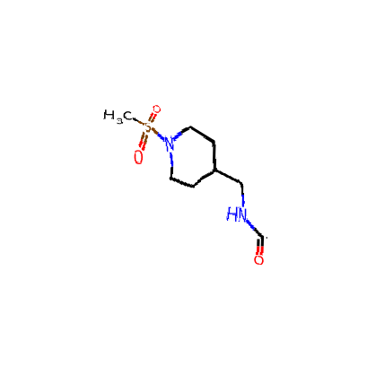 CS(=O)(=O)N1CCC(CN[C]=O)CC1